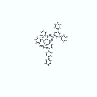 c1ccc(-c2ccc(-c3ccc(C4=NC(c5cc(-c6ccccc6)cc(-c6ccccc6)c5)=NC(c5ccccc5)N4)c4c3oc3cc5ccccc5cc34)cc2)cc1